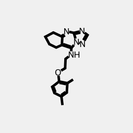 Cc1ccc(OCCNc2c3c(nc4ncnn24)CCCC3)c(C)c1